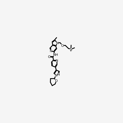 Cc1cc2cnc(NC(=O)c3ccc(-c4cnn(C5CCCCO5)c4)cn3)cc2n1COCC[Si](C)(C)C